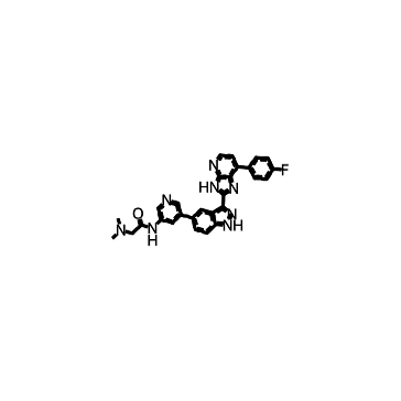 CN(C)CC(=O)Nc1cncc(-c2ccc3[nH]nc(-c4nc5c(-c6ccc(F)cc6)ccnc5[nH]4)c3c2)c1